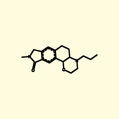 CCCN1CCOC2c3cc4c(cc3CCC21)CN(C)C4=O